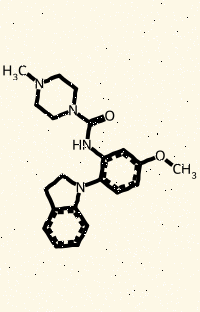 COc1ccc(N2CCc3ccccc32)c(NC(=O)N2CCN(C)CC2)c1